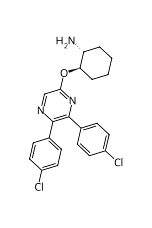 N[C@@H]1CCCC[C@H]1Oc1cnc(-c2ccc(Cl)cc2)c(-c2ccc(Cl)cc2)n1